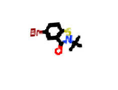 CC(C)(C)n1sc2ccc(Br)cc2c1=O